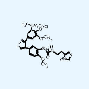 COc1ccc(-c2conc2-c2cc(OC)c(OC)c(OC)c2)cc1NC(=O)NCCc1cnc[nH]1.Cl